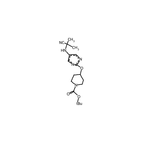 CC(C)(C#N)Nc1cnc(OC2CCN(C(=O)OC(C)(C)C)CC2)nc1